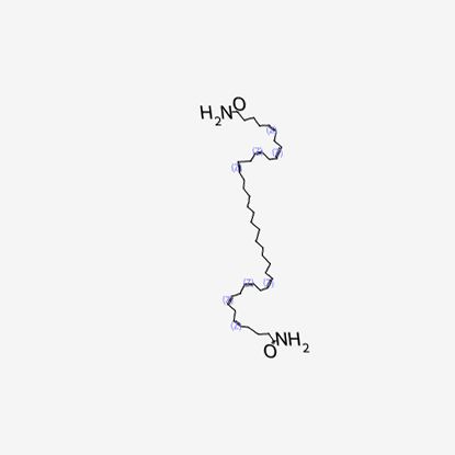 NC(=O)CCC/C=C\C/C=C\C/C=C\C/C=C\CCCCCCCCCCCC/C=C\C/C=C\C/C=C\C/C=C\CCCC(N)=O